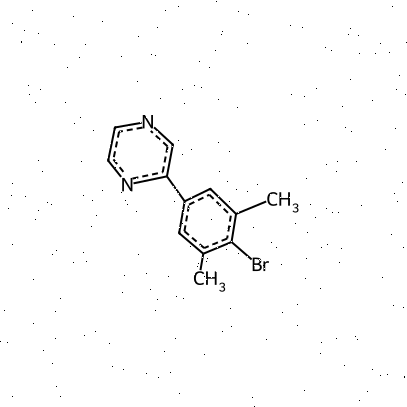 Cc1cc(-c2cnccn2)cc(C)c1Br